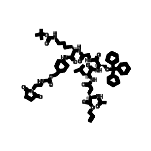 C=CCOC(=O)[C@H](CCC(=O)N[C@@H](CC(C)C)C(=O)N[C@@H](COC(c1ccccc1)(c1ccccc1)c1ccccc1)C(=O)NCC(=O)N[C@@H](CCCCNC(=O)OC(C)(C)C)C(=O)Nc1ccc(COC(=O)NCCN2C(=O)C=CC2=O)cc1)NC(C)=O